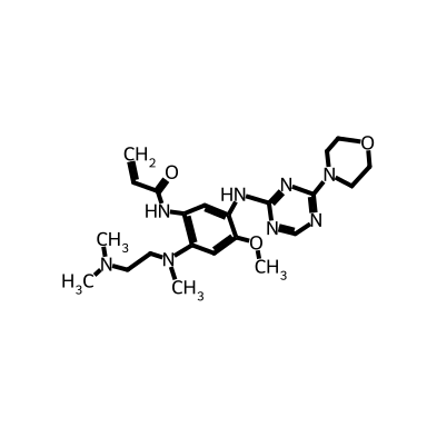 C=CC(=O)Nc1cc(Nc2ncnc(N3CCOCC3)n2)c(OC)cc1N(C)CCN(C)C